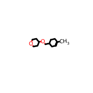 CC1=CCC(COC2CCOCC2)CC1